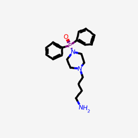 NCCCCN1CCN(P(=O)(c2ccccc2)c2ccccc2)CC1